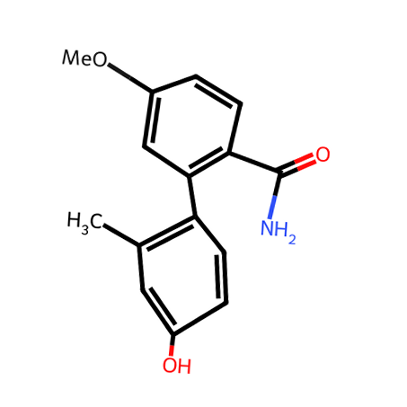 COc1ccc(C(N)=O)c(-c2ccc(O)cc2C)c1